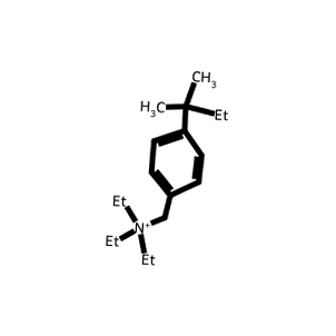 CCC(C)(C)c1ccc(C[N+](CC)(CC)CC)cc1